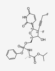 CC(C)OC(=O)[C@H](C)NP(=O)(OC[C@H]1O[C@@H](n2ccc(=O)[nH]c2=O)[C@@](F)(C#CCF)C1O)Oc1ccccc1